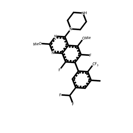 COc1nc(N2CCNCC2)c2c(OC)c(F)c(-c3cc(C(F)F)cc(C)c3C(F)(F)F)c(F)c2n1